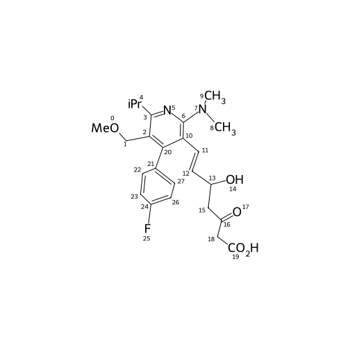 COCc1c(C(C)C)nc(N(C)C)c(C=CC(O)CC(=O)CC(=O)O)c1-c1ccc(F)cc1